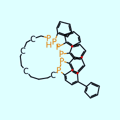 c1ccc(-c2ccc(P3CCCCCCCCCCCPP(c4ccccc4)P(c4ccccc4)P(c4ccccc4)P3c3ccccc3)cc2)cc1